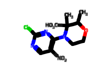 CC1OCCN(c2nc(Cl)ncc2[N+](=O)[O-])C1(C)C(=O)O